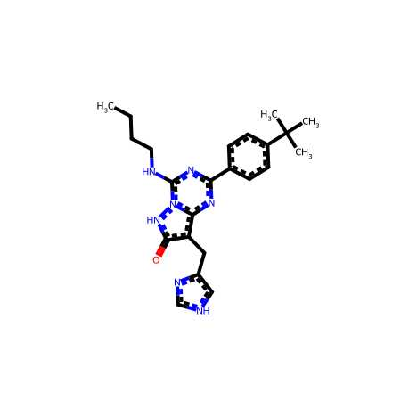 CCCCNc1nc(-c2ccc(C(C)(C)C)cc2)nc2c(Cc3c[nH]cn3)c(=O)[nH]n12